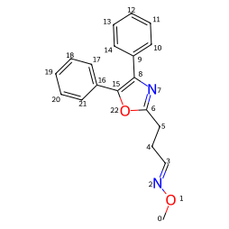 CON=CCCc1nc(-c2ccccc2)c(-c2ccccc2)o1